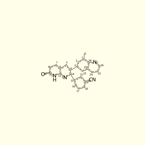 Cc1cc(-c2cc3ccc(=O)[nH]c3nc2-c2cccc(C#N)c2)cc2cccnc12